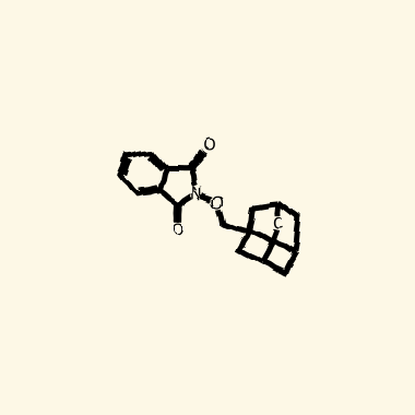 O=C1c2ccccc2C(=O)N1OCC12CC3CC4CC(C1)C42C3